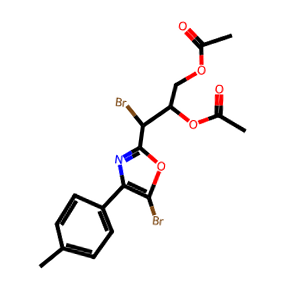 CC(=O)OCC(OC(C)=O)C(Br)c1nc(-c2ccc(C)cc2)c(Br)o1